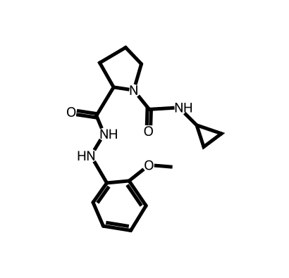 COc1ccccc1NNC(=O)C1CCCN1C(=O)NC1CC1